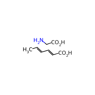 CC=CC=CC(=O)O.NCC(=O)O